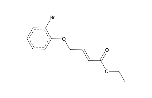 CCOC(=O)C=CCOc1ccccc1Br